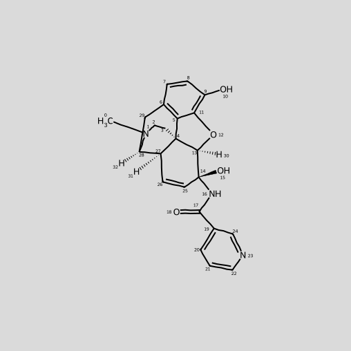 CN1CC[C@]23c4c5ccc(O)c4O[C@H]2[C@](O)(NC(=O)c2cccnc2)C=C[C@H]3[C@H]1C5